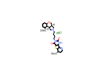 COc1cccc2c1[C@@H]1CN(CCCCn3c(=O)[nH]c4c(sc5c(OC)ccnc54)c3=O)C[C@@H]1CO2.Cl.Cl